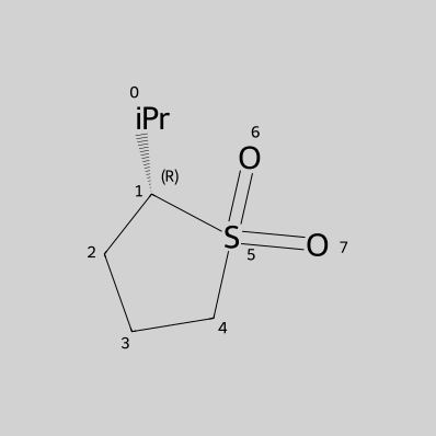 CC(C)[C@H]1CCCS1(=O)=O